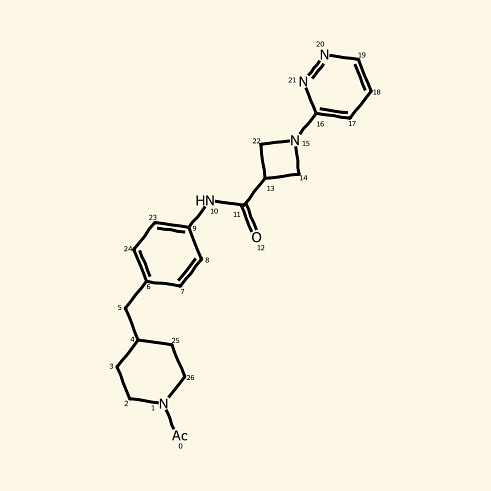 CC(=O)N1CCC(Cc2ccc(NC(=O)C3CN(c4cccnn4)C3)cc2)CC1